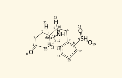 O=C1CC[C@H]2[C@H]3Cc4c([SH](=O)=O)cccc4[C@@]2(CCN3)C1